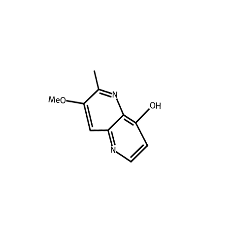 COc1cc2nccc(O)c2nc1C